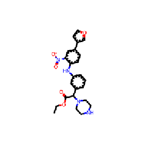 CCOC(=O)C(c1cccc(Nc2ccc(-c3ccoc3)cc2[N+](=O)[O-])c1)N1CCNCC1